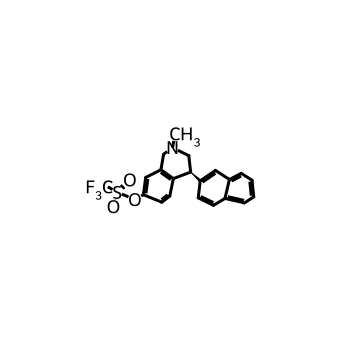 CN1Cc2cc(OS(=O)(=O)C(F)(F)F)ccc2[C@H](c2ccc3ccccc3c2)C1